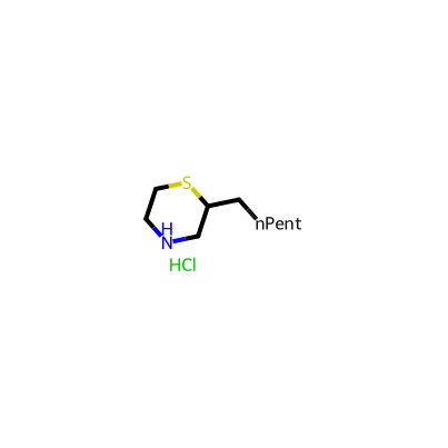 CCCCCCC1CNCCS1.Cl